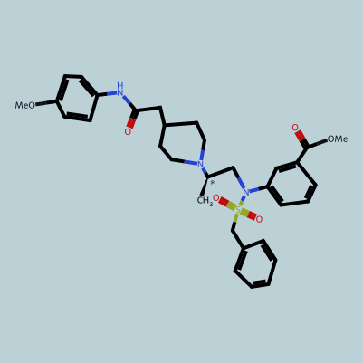 COC(=O)c1cccc(N(C[C@@H](C)N2CCC(CC(=O)Nc3ccc(OC)cc3)CC2)S(=O)(=O)Cc2ccccc2)c1